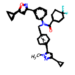 Cn1nc(C2CC2)cc1C12CCC(CN(C(=O)C3CCC(F)(F)CC3)c3cccc(-c4cc(C5CC5)on4)c3)(CC1)CC2